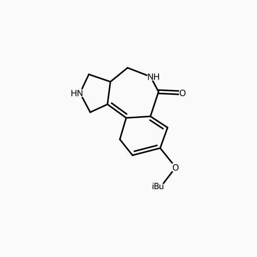 CCC(C)OC1=CCC2=C3CNCC3CNC(=O)C2=C1